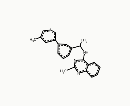 Cc1cncc(-c2cccc(C(C)Nc3nc(C)nc4ccccc34)c2)c1